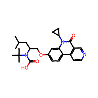 CC(C)CC(COc1ccc2c3ccncc3c(=O)n(C3CC3)c2c1)N(C(=O)O)C(C)(C)C